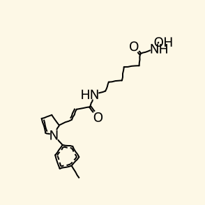 Cc1ccc(N2C=CCC2/C=C/C(=O)NCCCCCC(=O)NO)cc1